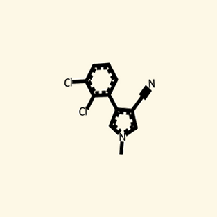 Cn1cc(C#N)c(-c2cccc(Cl)c2Cl)c1